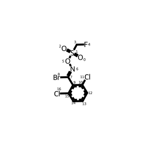 O=S(=O)(CF)ON=C(Br)c1c(Cl)cccc1Cl